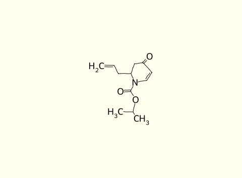 C=CCC1CC(=O)C=CN1C(=O)OC(C)C